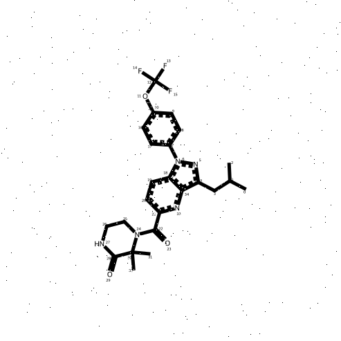 CC(C)Cc1nn(-c2ccc(OC(F)(F)F)cc2)c2ccc(C(=O)N3CCNC(=O)C3(C)C)nc12